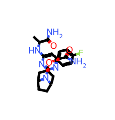 CC(Nc1cc(C(N)=O)nc(N2C3CCC2CC(Oc2ccc(F)cc2)C3)n1)C(N)=O